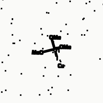 CO[PH](I)(OC)OC.[Cu]